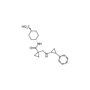 O=C(N[C@H]1CC[C@H](C(=O)O)CC1)C1(CNC2CC2c2ccccc2)CC1